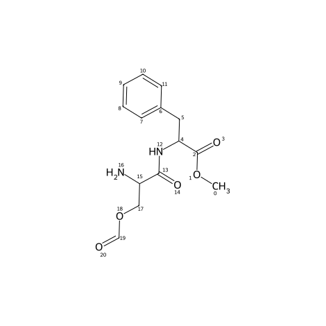 COC(=O)C(Cc1ccccc1)NC(=O)C(N)COC=O